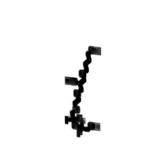 OCCCCOCC(O)COCCOCC(F)(F)OC(F)(F)CO